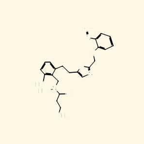 C=Nc1ccccc1SCc1ncc(CCc2cccc(C=O)c2CN(C)C(C=O)CCC=O)s1